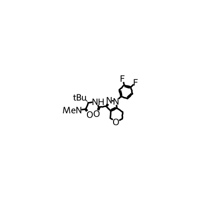 CNC(=O)[C@@H](NC(=O)c1nn(-c2ccc(F)c(F)c2)c2c1COCC2)C(C)(C)C